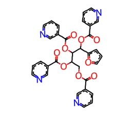 O=C(OCC(OC(=O)c1cccnc1)C(OC(=O)c1cccnc1)C(OC(=O)c1cccnc1)c1ccco1)c1cccnc1